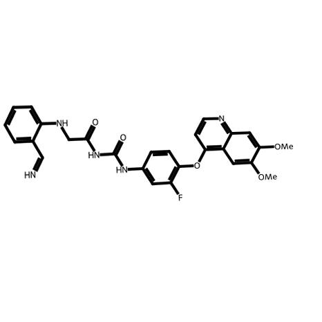 COc1cc2nccc(Oc3ccc(NC(=O)NC(=O)CNc4ccccc4C=N)cc3F)c2cc1OC